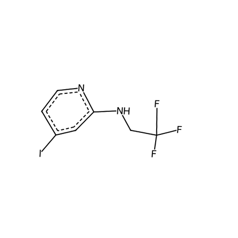 FC(F)(F)CNc1cc(I)ccn1